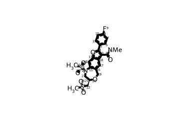 CNC(=O)c1c(-c2ccc(F)cc2)oc2cc3c(cc12)CO[C@@H](CS(C)(=O)=O)CN3S(C)(=O)=O